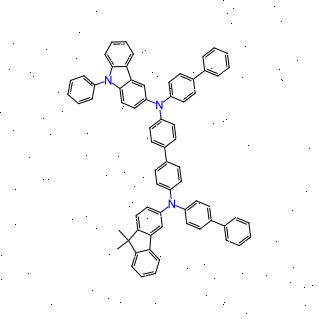 CC1(C)c2ccccc2-c2cc(N(c3ccc(-c4ccccc4)cc3)c3ccc(-c4ccc(N(c5ccc(-c6ccccc6)cc5)c5ccc6c(c5)c5ccccc5n6-c5ccccc5)cc4)cc3)ccc21